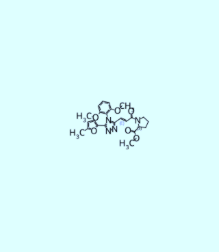 COC(=O)[C@@H]1CCCN1C(=O)/C=C/c1nnc(-c2ccc(C)o2)n1-c1c(OC)cccc1OC